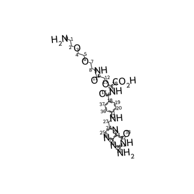 NCCOCCOCCNC(=O)COC(NC(=O)c1ccc(NCc2cnc3nc(N)[nH]c(=O)c3n2)cc1)C(=O)O